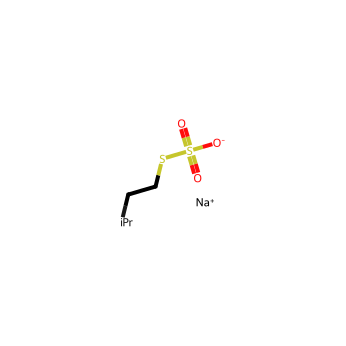 CC(C)CCSS(=O)(=O)[O-].[Na+]